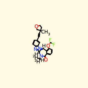 [2H]C([2H])([2H])N1C(=O)c2cccc(OC(F)F)c2[C@H]2C[C@@H]1c1nc3ccc(C#CC4(C)CCOC4)cc3n12